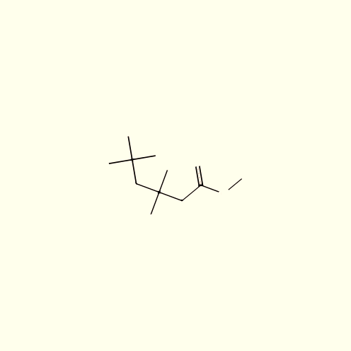 COC(=O)CC(C)(C)CC(C)(C)C